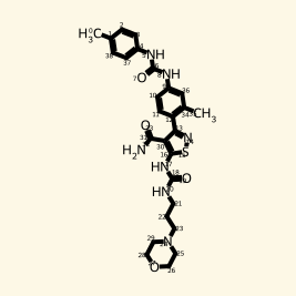 Cc1ccc(NC(=O)Nc2ccc(-c3nsc(NC(=O)NCCCN4CCOCC4)c3C(N)=O)c(C)c2)cc1